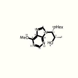 CCCCCC[C@H]([C@H](C)O)n1cnc2c(OC)ncnc21